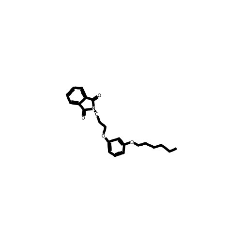 CCCCCCOc1cccc(OCCCN2C(=O)c3ccccc3C2=O)c1